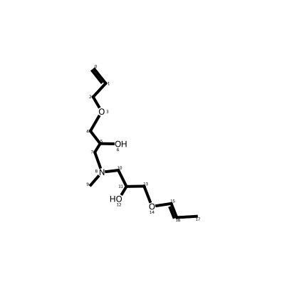 C=CCOCC(O)CN(C)CC(O)COC=CC